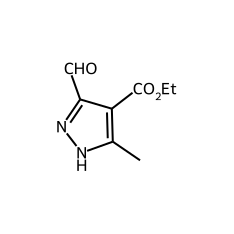 CCOC(=O)c1c(C=O)n[nH]c1C